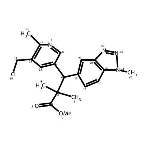 COC(=O)C(C)(C)C(c1cnc(C)c(CCl)c1)c1ccc2c(c1)nnn2C